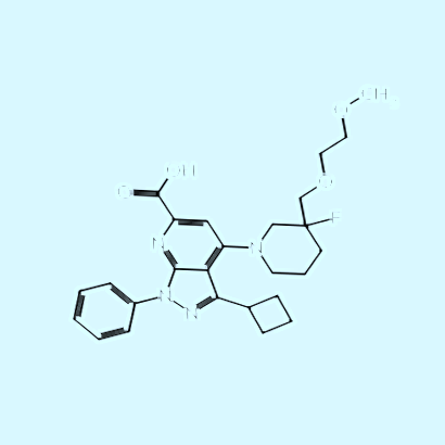 COCCOCC1(F)CCCN(c2cc(C(=O)O)nc3c2c(C2CCC2)nn3-c2ccccc2)C1